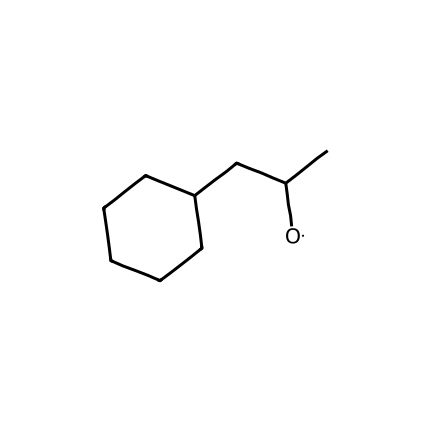 CC([O])CC1CCCCC1